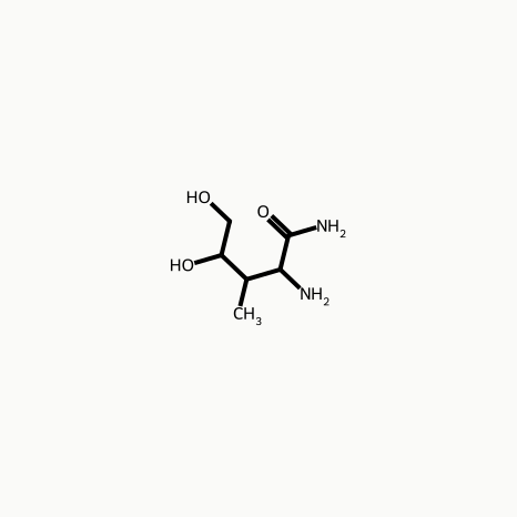 CC(C(O)CO)C(N)C(N)=O